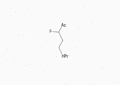 CCCCCC(F)C(C)=O